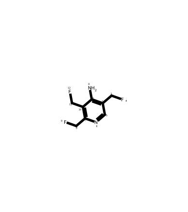 Nc1c(CF)cnc(CF)c1CF